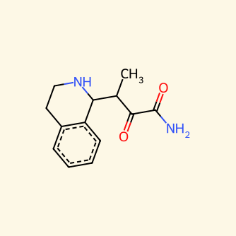 CC(C(=O)C(N)=O)C1NCCc2ccccc21